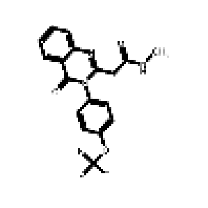 CNC(=O)[CH]c1nc2ccccc2c(=O)n1-c1ccc(OC(F)(F)F)cc1